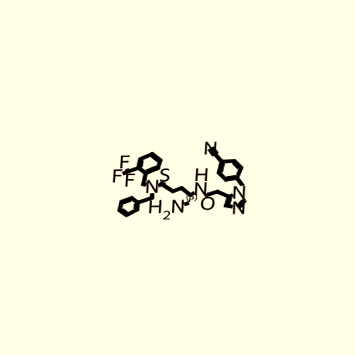 N#Cc1ccc(Cn2cncc2CC(=O)N[C@H](CN)CCC(=S)N(Cc2ccccc2)Cc2ccccc2C(F)(F)F)cc1